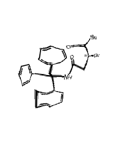 CC(C)(C)C(=O)[C@H](CC(=O)NC(c1ccccc1)(c1ccccc1)c1ccccc1)C(C)(C)C